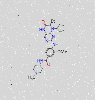 CC[C@@H]1C(=O)Nc2cnc(Nc3ccc(C(=O)NC4CCN(C)CC4)cc3OC)nc2N1C1CCCC1